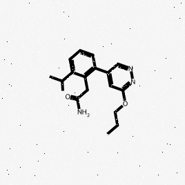 CCCOc1cc(-c2cccc(C(C)C)c2CC(N)=O)cnn1